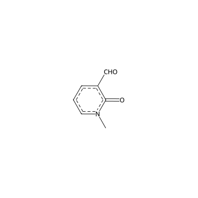 Cn1cccc(C=O)c1=O